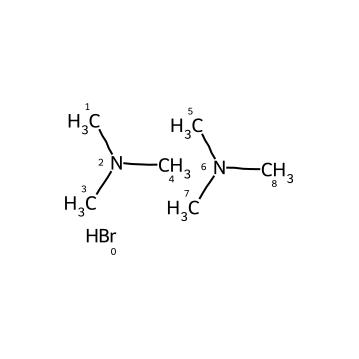 Br.CN(C)C.CN(C)C